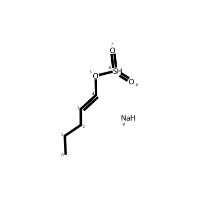 CCCC=CO[SH](=O)=O.[NaH]